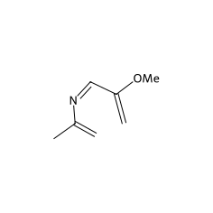 C=C(C)/N=C\C(=C)OC